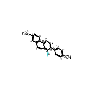 CCCCc1ccc2c(ccc3c(F)c(-c4ccc(C#N)cc4)ccc32)c1